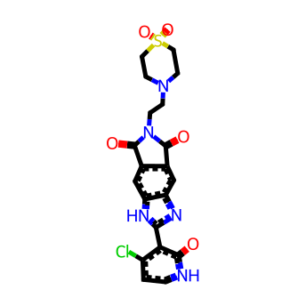 O=C1c2cc3nc(-c4c(Cl)cc[nH]c4=O)[nH]c3cc2C(=O)N1CCN1CCS(=O)(=O)CC1